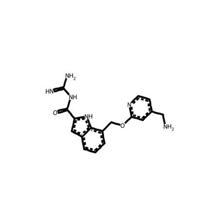 N=C(N)NC(=O)c1cc2cccc(COc3cc(CN)ccn3)c2[nH]1